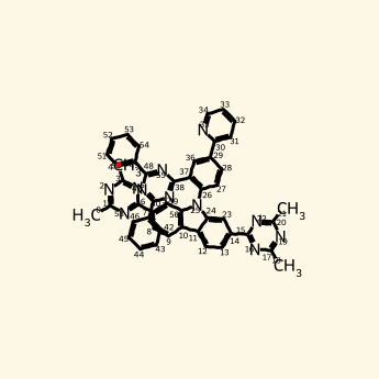 Cc1nc(C)nc(-c2ccc3c4ccc(-c5nc(C)nc(C)n5)cc4n(-c4ccc(-c5ccccn5)cc4-c4nc(-c5ccccc5)nc(-c5ccccc5)n4)c3c2)n1